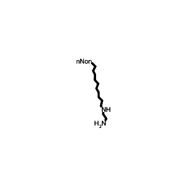 CCCCCCCCCCCCCCCCCCCNCCN